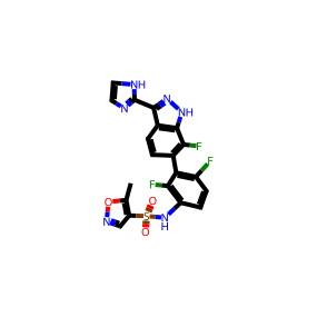 Cc1oncc1S(=O)(=O)Nc1ccc(F)c(-c2ccc3c(-c4ncc[nH]4)n[nH]c3c2F)c1F